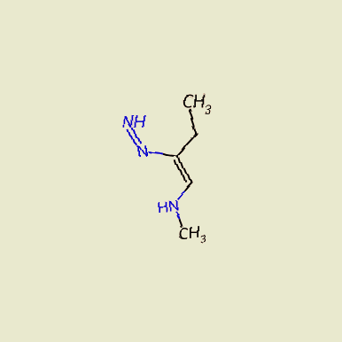 CC/C(=C/NC)N=N